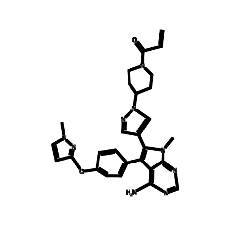 C=CC(=O)N1CCC(n2cc(-c3c(-c4ccc(Oc5ccn(C)n5)cc4)c4c(N)ncnc4n3C)cn2)CC1